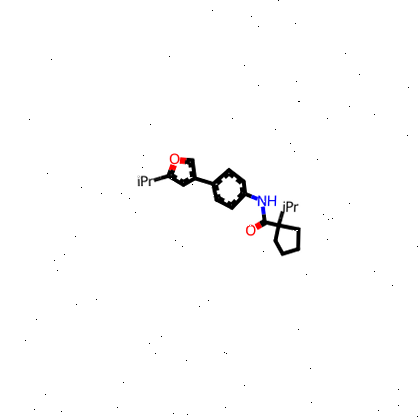 CC(C)c1cc(-c2ccc(NC(=O)C3(C(C)C)CCCC3)cc2)co1